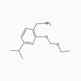 CCOCOc1cc(C(C)C)ccc1CN